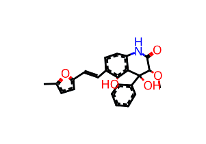 COC1C(=O)Nc2ccc(C=Cc3ccc(C)o3)c(O)c2C1(O)c1ccccc1